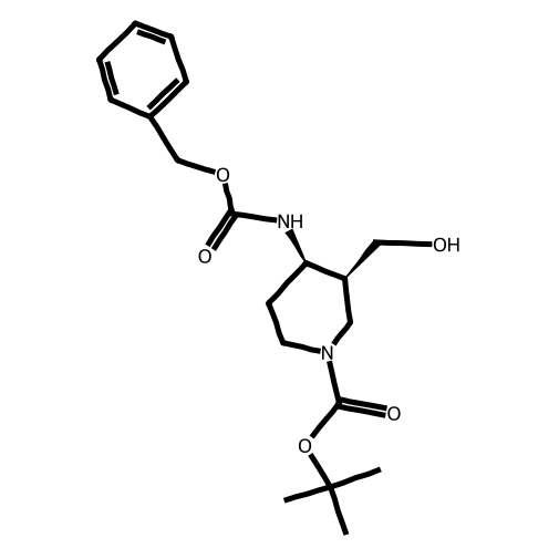 CC(C)(C)OC(=O)N1CC[C@@H](NC(=O)OCc2ccccc2)[C@@H](CO)C1